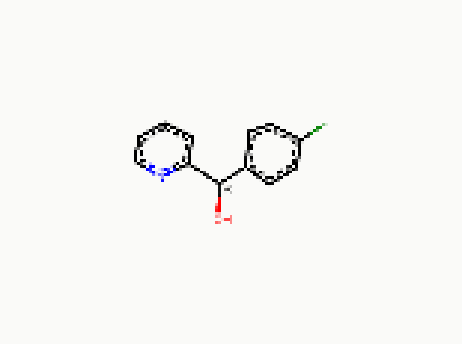 O[C@H](c1ccc(F)cc1)c1ccccn1